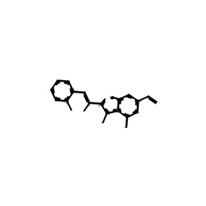 C=Cc1cc(C)c2c(C)c(/C(C)=C/c3ccccc3C)sc2c1